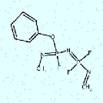 C=NP(F)(F)=NP(F)(=NC)Oc1ccccc1